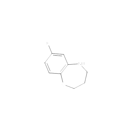 Fc1ccc2c(c1)NCCCO2